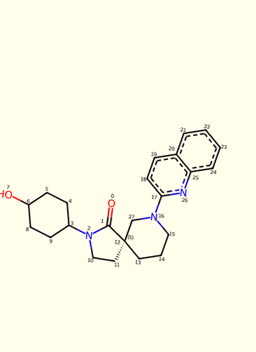 O=C1N(C2CCC(O)CC2)CC[C@]12CCCN(c1ccc3ccccc3n1)C2